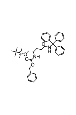 CC(C)(C)[Si](C)(C)OC[C@H](CCC(=O)NC(c1ccccc1)(c1ccccc1)c1ccccc1)NC(=O)OCc1ccccc1